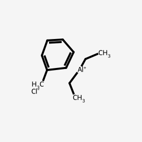 C[CH2][Al+][CH2]C.Cc1ccccc1.[Cl-]